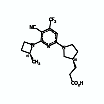 C[C@H]1CCN1c1nc(N2CC[C@@H](CCC(=O)O)C2)cc(C(F)(F)F)c1C#N